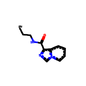 CC(C)CCNC(=O)c1ncn2ccccc12